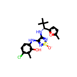 Cc1ccc([C@H](Nc2n[s+]([O-])nc2Nc2ccc(Cl)c(C)c2O)C(C)(C)C)o1